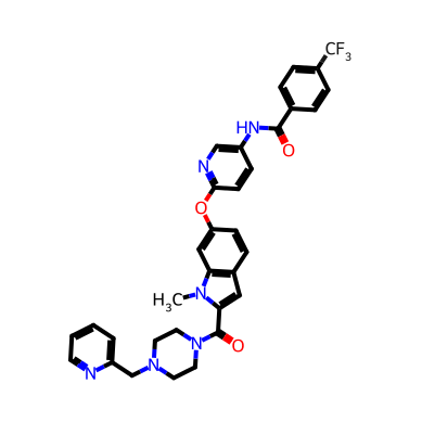 Cn1c(C(=O)N2CCN(Cc3ccccn3)CC2)cc2ccc(Oc3ccc(NC(=O)c4ccc(C(F)(F)F)cc4)cn3)cc21